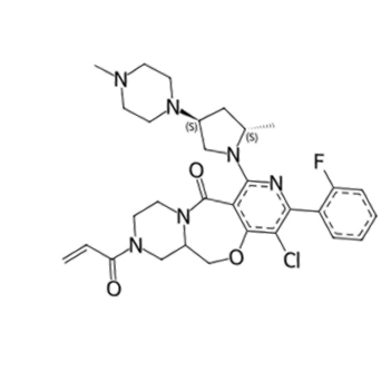 C=CC(=O)N1CCN2C(=O)c3c(N4C[C@@H](N5CCN(C)CC5)C[C@@H]4C)nc(-c4ccccc4F)c(Cl)c3OCC2C1